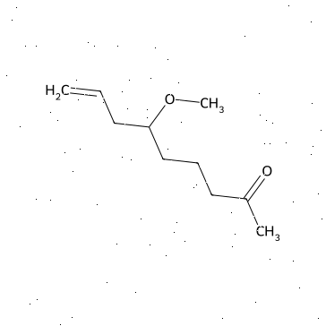 C=CCC(CCCC(C)=O)OC